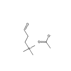 CC(=O)[O-].C[N+](C)(C)CCC=O